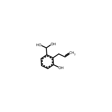 C=CCc1c(O)cccc1C(O)O